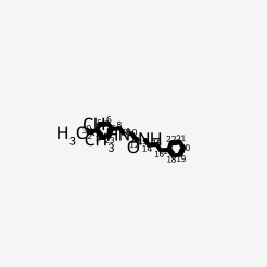 CC(C)(C)c1ccc(CNCC(=O)NCCCc2ccccc2)cc1